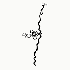 CCCCCCCCC=CCCCCCCCCOCCO.O=P(O)(O)O